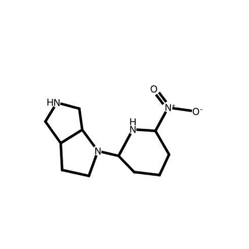 O=[N+]([O-])C1CCCC(N2CCC3CNCC32)N1